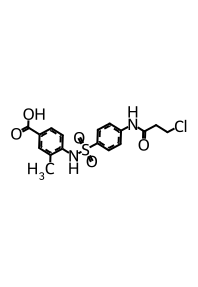 Cc1cc(C(=O)O)ccc1NS(=O)(=O)c1ccc(NC(=O)CCCl)cc1